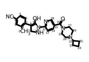 Cc1cc(C#N)ccc1C1=C(O)N(c2ccc(C(=O)N3CCN(C4CCC4)CC3)cn2)NC1